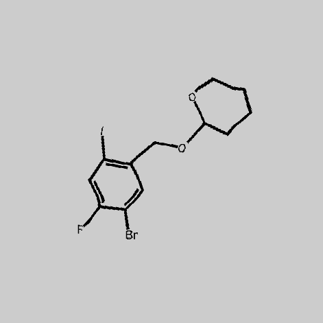 Fc1cc(I)c(COC2CCCCO2)cc1Br